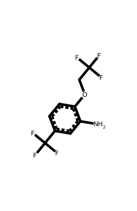 Nc1cc(C(F)(F)F)ccc1OCC(F)(F)F